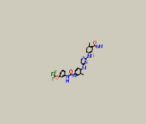 CNC(=O)c1cc(Nc2nccc(Nc3ccc(NC(=O)Nc4cccc(OC(F)(F)F)c4)cc3C)n2)ccc1C